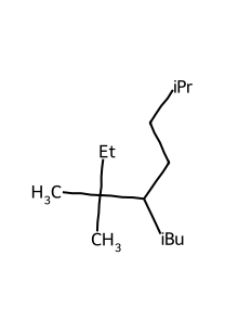 CCC(C)C(CCC(C)C)C(C)(C)CC